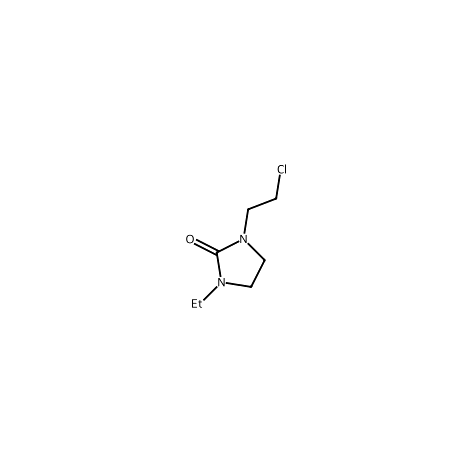 CCN1CCN(CCCl)C1=O